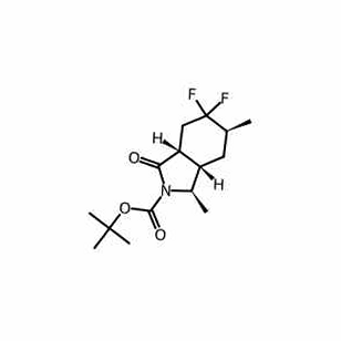 C[C@@H]1[C@H]2C[C@H](C)C(F)(F)C[C@H]2C(=O)N1C(=O)OC(C)(C)C